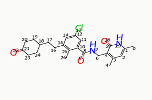 Cc1cc(C)c(CNC(=O)c2cc(Cl)cc(CCC3CCC(=O)CC3)c2C)c(=O)[nH]1